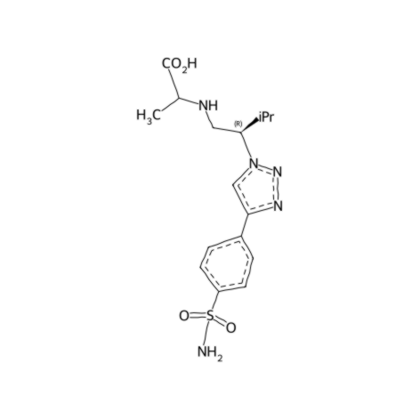 CC(NC[C@@H](C(C)C)n1cc(-c2ccc(S(N)(=O)=O)cc2)nn1)C(=O)O